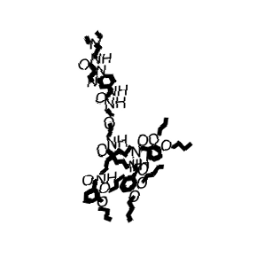 CCCCOc1cccc(C(=O)NCCCC(CCCNC(=O)c2cccc(OCCCC)c2OCCCC)(CCCNC(=O)c2cccc(OCCCC)c2OCCCC)C(=O)NCCOCCNC(=O)Nc2ccc3nc(C(=O)NCCN(CC)CC)cnc3c2)c1OCCCC